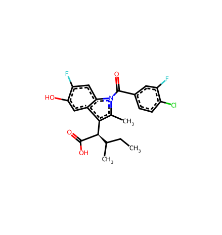 CCC(C)[C@@H](C(=O)O)c1c(C)n(C(=O)c2ccc(Cl)c(F)c2)c2cc(F)c(O)cc12